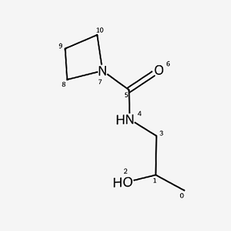 CC(O)CNC(=O)N1CCC1